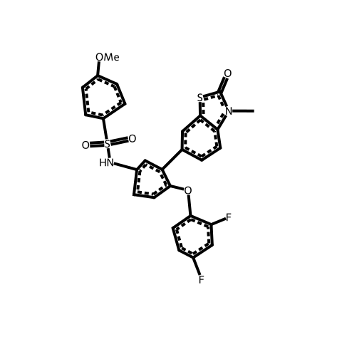 COc1ccc(S(=O)(=O)Nc2ccc(Oc3ccc(F)cc3F)c(-c3ccc4c(c3)sc(=O)n4C)c2)cc1